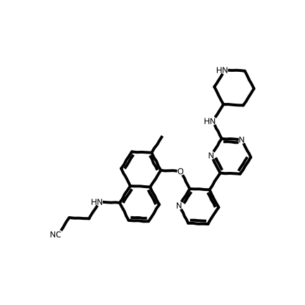 Cc1ccc2c(NCCC#N)cccc2c1Oc1ncccc1-c1ccnc(NC2CCCNC2)n1